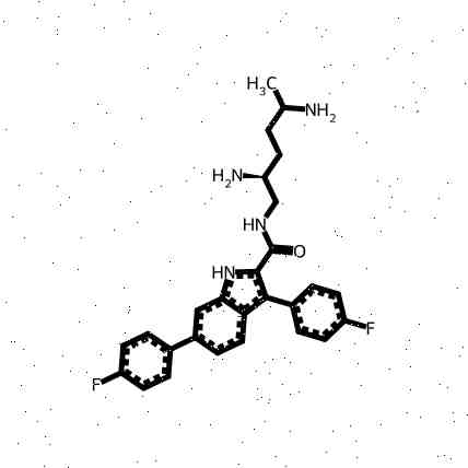 CC(N)CC[C@H](N)CNC(=O)c1[nH]c2cc(-c3ccc(F)cc3)ccc2c1-c1ccc(F)cc1